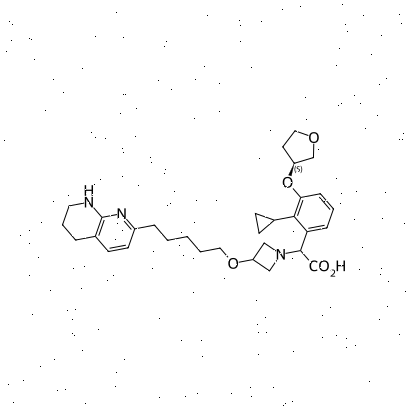 O=C(O)C(c1cccc(O[C@H]2CCOC2)c1C1CC1)N1CC(OCCCCCc2ccc3c(n2)NCCC3)C1